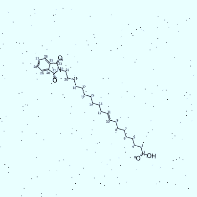 O=C(O)CCCCCCCC=CCCCCCCCCCCN1C(=O)c2ccccc2C1=O